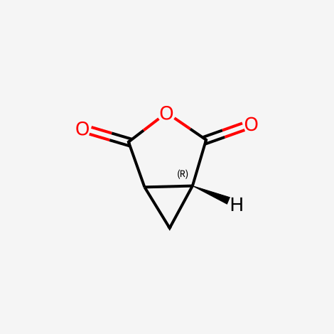 O=C1OC(=O)[C@@H]2CC12